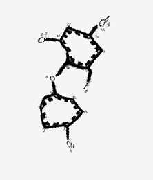 N#Cc1[c]cc(Oc2c(F)cc(C(F)(F)F)cc2Cl)cc1